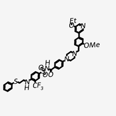 CCOc1cncc(-c2ccc(CN3CCN(c4ccc(C(=O)NS(=O)(=O)c5ccc(NCCSc6ccccc6)c(C(F)(F)F)c5)cc4)CC3)c(OC)c2)c1